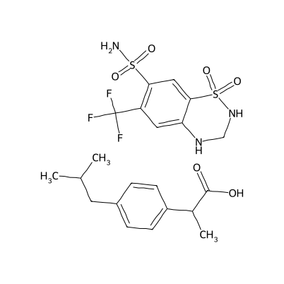 CC(C)Cc1ccc(C(C)C(=O)O)cc1.NS(=O)(=O)c1cc2c(cc1C(F)(F)F)NCNS2(=O)=O